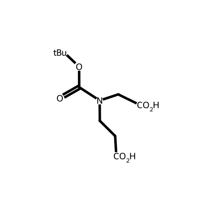 CC(C)(C)OC(=O)N(CCC(=O)O)CC(=O)O